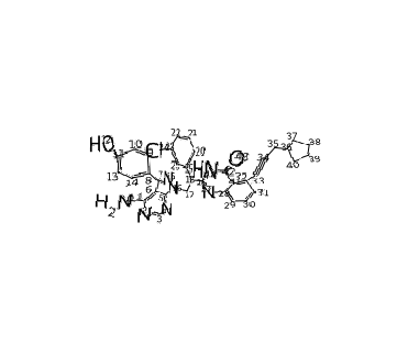 Nc1ncnc2c1c(-c1ccc(O)cc1)nn2CC(c1cccc(Cl)c1)c1nc2cccc(C#CCC3CCCC3)c2c(=O)[nH]1